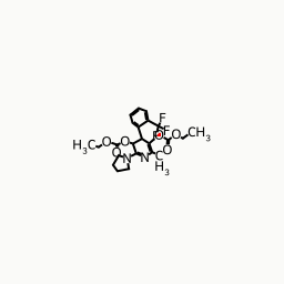 CCOC(=O)OC1=C(C)N=C(N2CCCC2)C(OC(=O)OCC)C1c1ccccc1C(F)(F)F